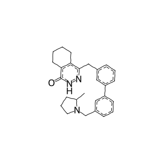 CC1CCCN1Cc1cccc(-c2cccc(Cc3n[nH]c(=O)c4c3CCCC4)c2)c1